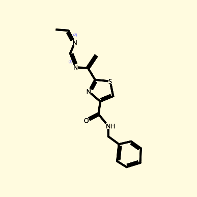 C=C(/N=C\N=C/C)c1nc(C(=O)NCc2ccccc2)cs1